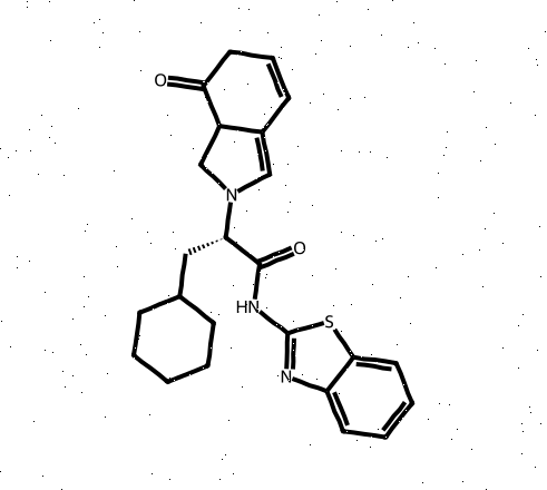 O=C1CC=CC2=CN([C@@H](CC3CCCCC3)C(=O)Nc3nc4ccccc4s3)CC12